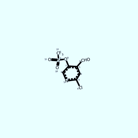 O=Cc1cc(Cl)ncc1OS(=O)(=O)C(F)(F)F